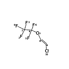 FC(F)(F)C(F)(F)OC=CCl